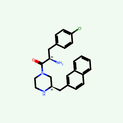 N[C@H](Cc1ccc(Cl)cc1)C(=O)N1CCN[C@H](Cc2ccc3ccccc3c2)C1